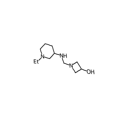 CCN1CCCC(NCN2CC(O)C2)C1